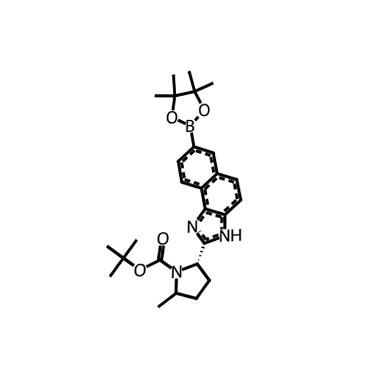 CC1CC[C@@H](c2nc3c(ccc4cc(B5OC(C)(C)C(C)(C)O5)ccc43)[nH]2)N1C(=O)OC(C)(C)C